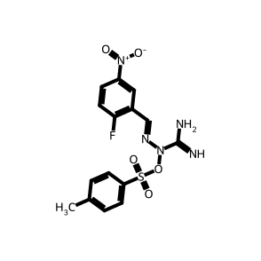 Cc1ccc(S(=O)(=O)ON(N=Cc2cc([N+](=O)[O-])ccc2F)C(=N)N)cc1